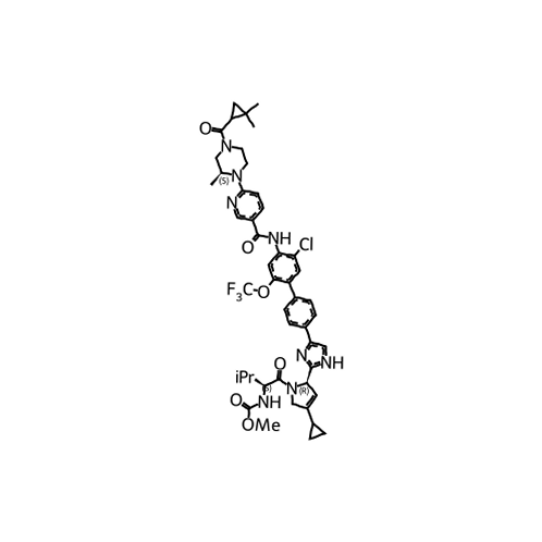 COC(=O)N[C@H](C(=O)N1CC(C2CC2)=C[C@@H]1c1nc(-c2ccc(-c3cc(Cl)c(NC(=O)c4ccc(N5CCN(C(=O)C6CC6(C)C)C[C@@H]5C)nc4)cc3OC(F)(F)F)cc2)c[nH]1)C(C)C